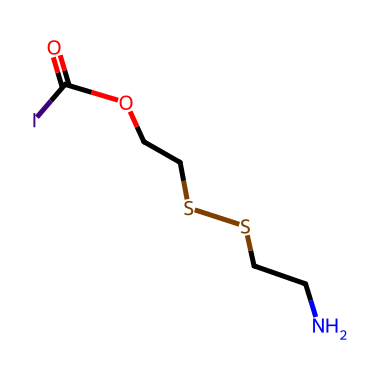 NCCSSCCOC(=O)I